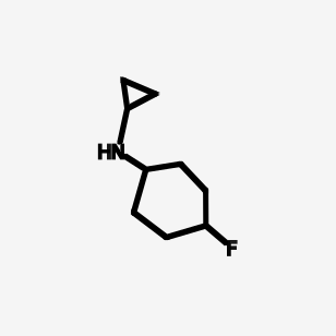 FC1CCC(NC2CC2)CC1